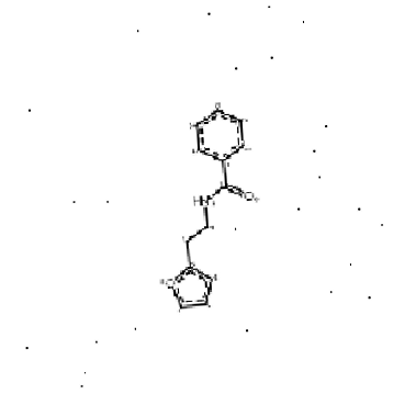 O=C(NCCc1ccco1)c1ccccc1